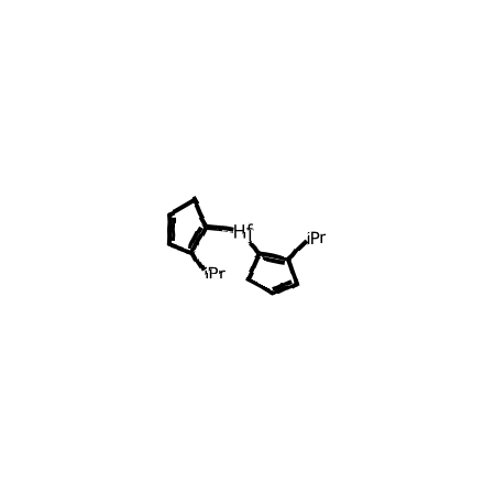 CC(C)C1=[C]([Hf][C]2=C(C(C)C)C=CC2)CC=C1